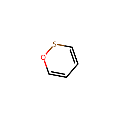 C1=COSC=C1